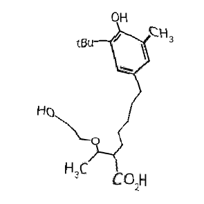 Cc1cc(CCCCCC(C(=O)O)C(C)OCCO)cc(C(C)(C)C)c1O